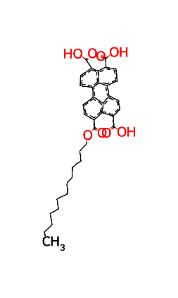 CCCCCCCCCCCCCOC(=O)c1ccc2c3ccc(C(=O)O)c4c(C(=O)O)ccc(c5ccc(C(=O)O)c1c52)c43